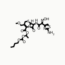 CCCCOC(=O)OC(C)OC(=O)C1=C(COC)CS[C@H]2C(NC(=O)C(=NO)c3csc(N)n3)C(=O)N12